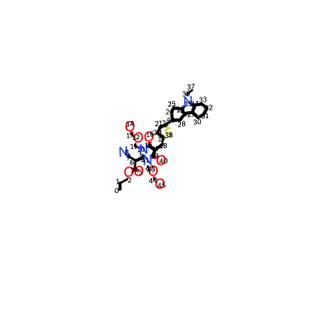 C=CCOC(=O)C(C#N)=c1n(COC=O)c(=O)c(=Cc2ccc(-c3ccc4c(c3)c3ccccc3n4CC)s2)c(=O)n1COC=O